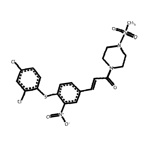 CS(=O)(=O)N1CCN(C(=O)/C=C/c2ccc(Sc3ccc(Cl)cc3Cl)c([N+](=O)[O-])c2)CC1